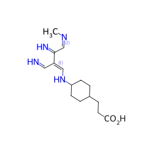 C/N=C\C(=N)/C(C=N)=C/NC1CCC(CCC(=O)O)CC1